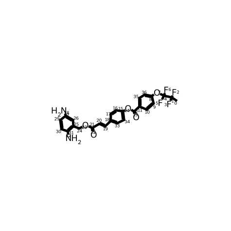 CC(F)(F)C(F)(F)Oc1ccc(C(=O)Oc2ccc(/C=C/C(=O)OCc3cc(N)ccc3N)cc2)cc1